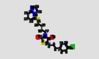 O=C1S/C(=C/CCc2ccc(Cl)cc2)C(=O)N1CCCCSc1cccc2nccn12